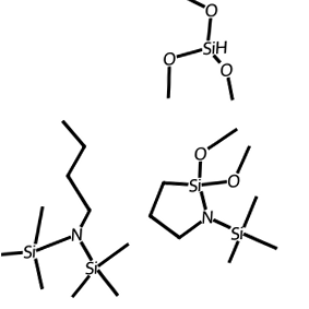 CCCCN([Si](C)(C)C)[Si](C)(C)C.CO[SiH](OC)OC.CO[Si]1(OC)CCCN1[Si](C)(C)C